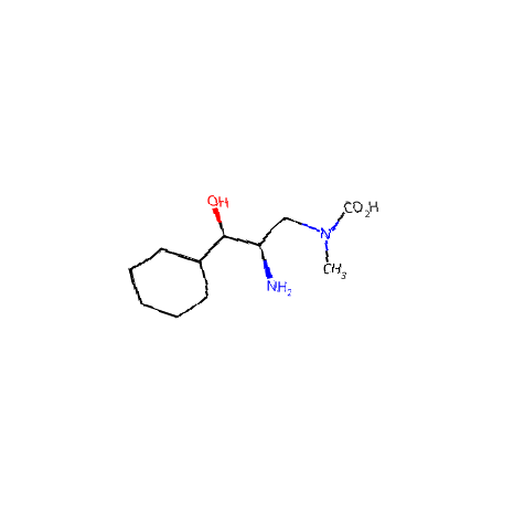 CN(C[C@@H](N)[C@H](O)C1CCCCC1)C(=O)O